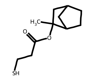 CC1(OC(=O)CCS)CC2CCC1C2